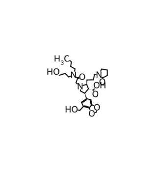 CCCCN(CCCO)C(=O)CN1C[C@H](c2cc(CO)c3c(c2)OCO3)[C@@H](C(=O)O)[C@@H]1CCCN1CCCC1=O